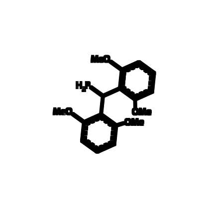 COc1cccc(OC)c1C(P)c1c(OC)cccc1OC